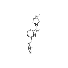 C[C@H]1CCN([C@H](C)c2cccc(CN=[N+]=[N-])n2)C1